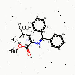 CC(/C=C(/N=C(c1ccccc1)c1ccccc1)C(=O)OC(C)(C)C)C(=O)O